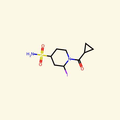 NS(=O)(=O)C1CCN(C(=O)C2CC2)C(I)C1